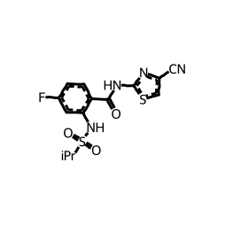 CC(C)S(=O)(=O)Nc1cc(F)ccc1C(=O)Nc1nc(C#N)cs1